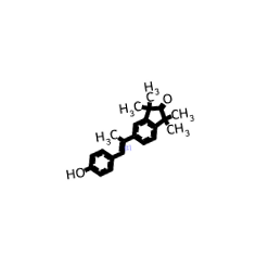 C/C(=C\c1ccc(O)cc1)c1ccc2c(c1)C(C)(C)C(=O)C2(C)C